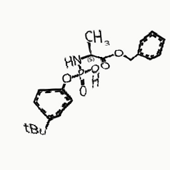 C[C@H](NP(=O)(O)Oc1ccc(C(C)(C)C)cc1)C(=O)OCc1ccccc1